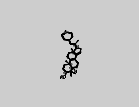 C[C@H](CC1CCSCC1)[C@H]1CC=C2C3=C(CC[C@@]21C)[C@@]1(C)CC[C@H](O)C(C)(C)[C@@H]1CC3